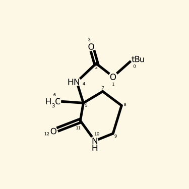 CC(C)(C)OC(=O)NC1(C)CCCNC1=O